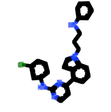 Clc1cccc(Nc2nccc(-c3cccc4c3ccn4CCCNc3ccccc3)n2)c1